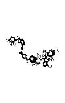 CC(C)Oc1cc(C(=O)N2CCC3(CC2)C[C@@H]3C#Cc2cccc3c2CN(C2CCC(=O)NC2=O)C3=O)ccc1NC(=O)[C@@H]1N[C@@H](CC(C)(C)C)[C@@]2(CNc3cc(C(F)(F)F)ncc32)[C@H]1c1cccc(Cl)c1F